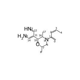 C=C(/C=C\C)N1CC(C)OC(/C(C=N)=C/N)C1C